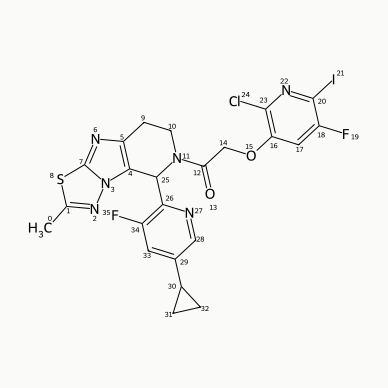 Cc1nn2c3c(nc2s1)CCN(C(=O)COc1cc(F)c(I)nc1Cl)C3c1ncc(C2CC2)cc1F